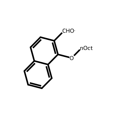 CCCCCCCCOc1c([C]=O)ccc2ccccc12